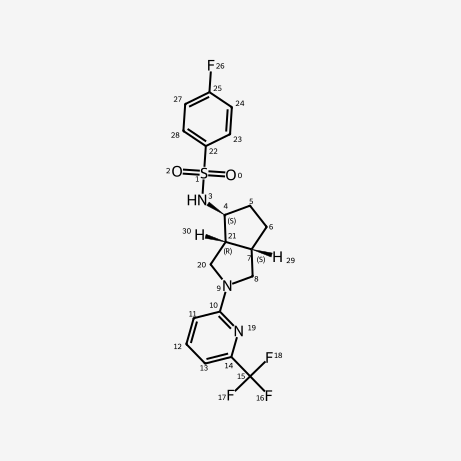 O=S(=O)(N[C@H]1CC[C@@H]2CN(c3cccc(C(F)(F)F)n3)C[C@@H]21)c1ccc(F)cc1